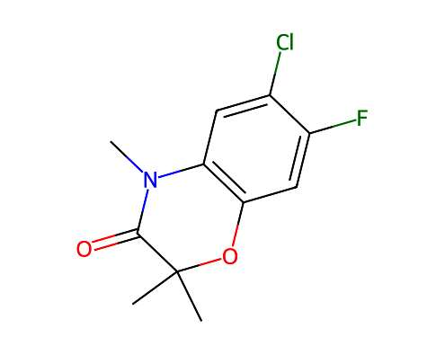 CN1C(=O)C(C)(C)Oc2cc(F)c(Cl)cc21